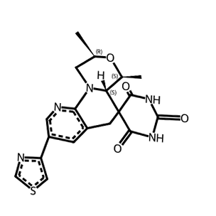 C[C@@H]1CN2c3ncc(-c4cscn4)cc3CC3(C(=O)NC(=O)NC3=O)[C@H]2[C@H](C)O1